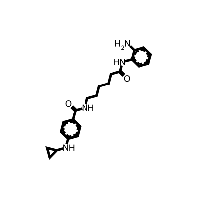 Nc1ccccc1NC(=O)CCCCCNC(=O)c1ccc(NC2CC2)cc1